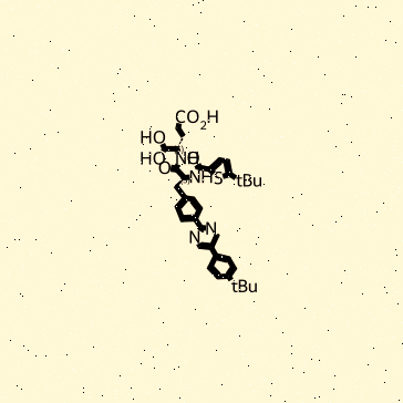 CC(C)(C)c1ccc(-c2cnc(-c3ccc(C[C@H](NC(=O)c4ccc(C(C)(C)C)s4)C(=O)N[C@@H](CCC(=O)O)C(O)O)cc3)nc2)cc1